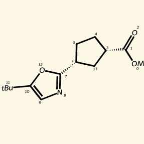 COC(=O)[C@H]1CC[C@@H](c2ncc(C(C)(C)C)o2)C1